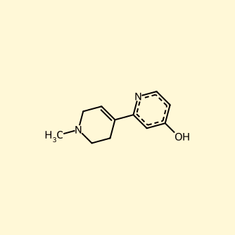 CN1CC=C(c2cc(O)ccn2)CC1